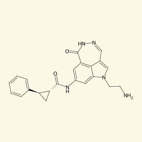 NCCn1cc2c3c(cc(NC(=O)[C@@H]4C[C@H]4c4ccccc4)cc31)C(=O)NN=C2